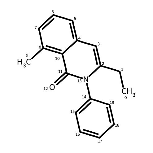 CCc1cc2cccc(C)c2c(=O)n1-c1ccccc1